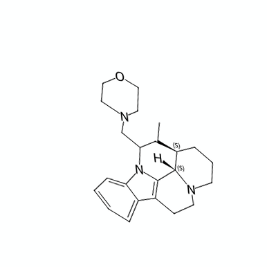 CC[C@]12CCCN3CCc4c(n(c5ccccc45)C(CN4CCOCC4)C1)[C@@H]32